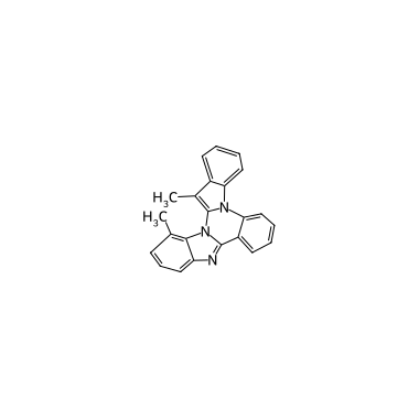 Cc1cccc2nc3c4ccccc4n4c5ccccc5c(C)c4n3c12